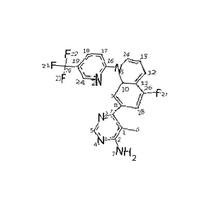 Cc1c(N)ncnc1C1=CC2C(=CC=CN2c2ccc(C(F)(F)F)cn2)C(F)=C1